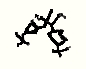 CC(c1ccc(C(F)(F)F)nc1)S(C)(=O)=Nc1nc(C(F)(F)F)cs1